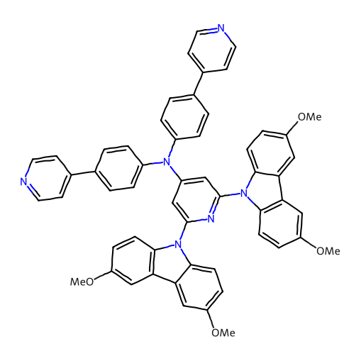 COc1ccc2c(c1)c1cc(OC)ccc1n2-c1cc(N(c2ccc(-c3ccncc3)cc2)c2ccc(-c3ccncc3)cc2)cc(-n2c3ccc(OC)cc3c3cc(OC)ccc32)n1